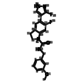 COc1cccc(CNC(=O)N2CCc3cc(-c4c[nH]nc4F)c(F)cc32)c1